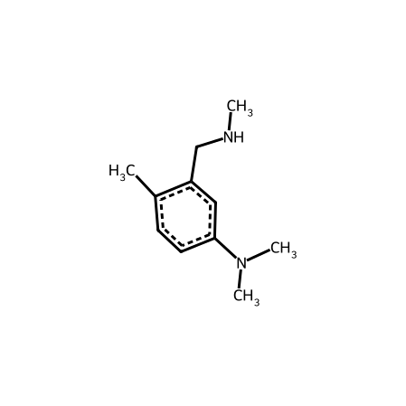 CNCc1cc(N(C)C)ccc1C